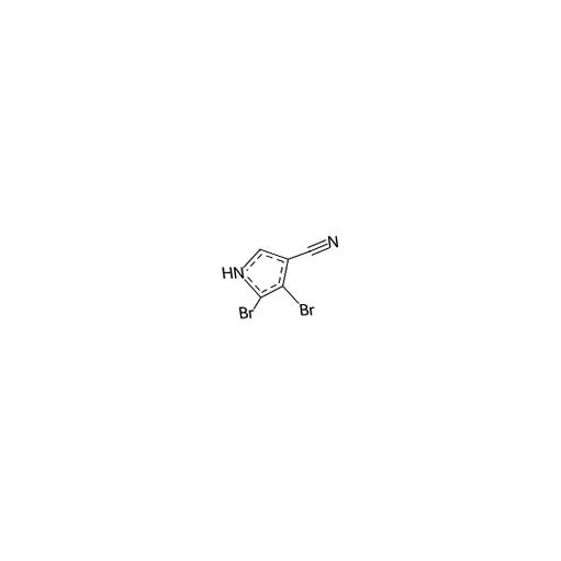 N#Cc1c[nH]c(Br)c1Br